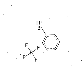 Brc1ccccc1.F[B-](F)(F)F.[H+]